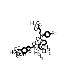 COC(=O)CCN(C(=O)[C@@H]1CCCN1C(=O)[C@@H](NC(=O)c1cc2cc(C(F)(F)P(=O)(O)O)ccc2s1)C(C)(C)C)c1ccc(Br)cc1